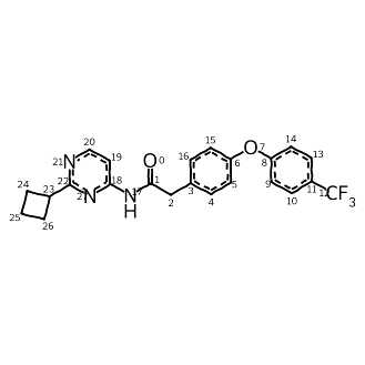 O=C(Cc1ccc(Oc2ccc(C(F)(F)F)cc2)cc1)Nc1ccnc(C2CCC2)n1